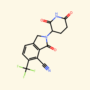 N#Cc1c(C(F)(F)F)ccc2c1C(=O)N(C1CCC(=O)NC1=O)C2